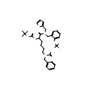 CC(C)(C)OC(=O)NC(CCCCN(Cc1ccccc1)C(=O)O)C(=O)N(Cc1cccs1)Cc1ccccc1OC(F)(F)F